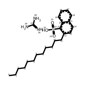 CCCCCCCCCCCCc1ccc2ccccc2c1S(=O)(=O)O.N=C(N)N